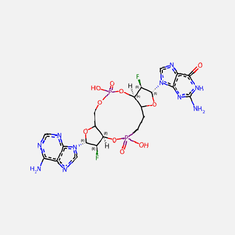 Nc1nc2c(ncn2[C@@H]2OC3CCP(=O)(O)O[C@@H]4C(COP(=O)(O)O[C@H]3[C@H]2F)O[C@@H](n2cnc3c(N)ncnc32)[C@@H]4F)c(=O)[nH]1